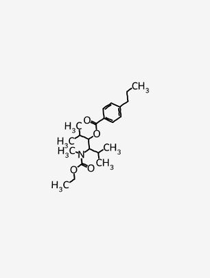 CCCc1ccc(C(=O)OC(C(C)C)C(C(C)C)N(C)C(=O)OCC)cc1